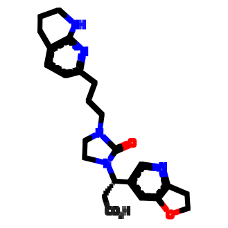 O=C(O)C[C@@H](c1cnc2c(c1)OCC2)N1CCN(CCCc2ccc3c(n2)NCCC3)C1=O